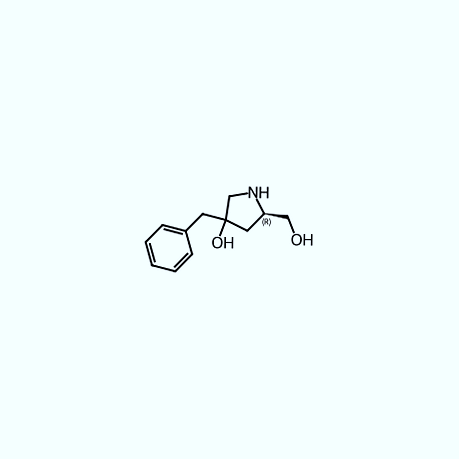 OC[C@H]1CC(O)(Cc2ccccc2)CN1